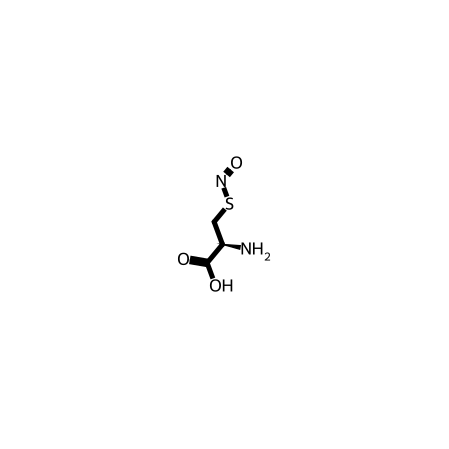 N[C@H](CSN=O)C(=O)O